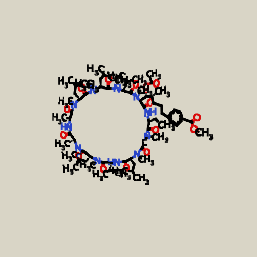 CC[C@@H]1NC(=O)[C@H]([C@H](OC(C)=O)[C@H](C)CCCc2ccc(C(=O)OC)cc2)N(C)C(=O)[C@H](C(C)C)N(C)C(=O)[C@H](CC(C)C)N(C)C(=O)[C@H](CC(C)C)N(C)C(=O)[C@H](C)NC(=O)[C@@H](C)NC(=O)[C@@H](CC(C)C)N(C)C(=O)[C@@H](C(C)C)NC(=O)[C@H](CC(C)C)N(C)C(=O)CN(C)C1=O